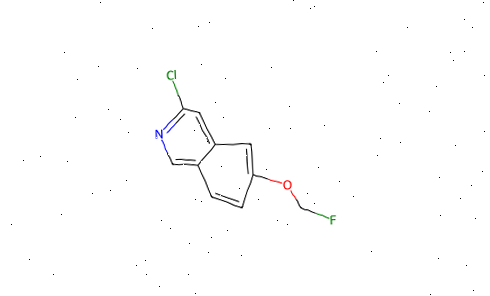 FCOc1ccc2cnc(Cl)cc2c1